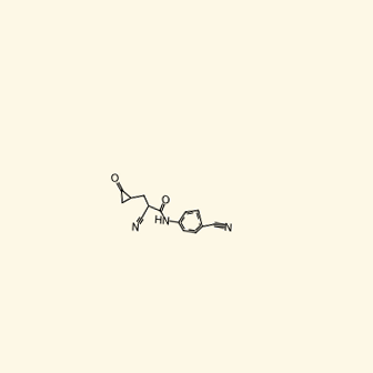 N#Cc1ccc(NC(=O)C(C#N)CC2CC2=O)cc1